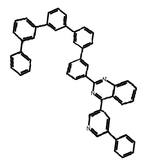 c1ccc(-c2cccc(-c3cccc(-c4cccc(-c5cccc(-c6nc(-c7cncc(-c8ccccc8)c7)c7ccccc7n6)c5)c4)c3)c2)cc1